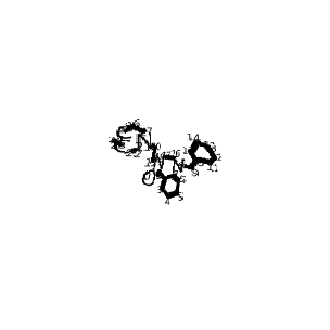 O=C1c2ccccc2N(Cc2ccccc2)CCN1CCN1CCCCCC1